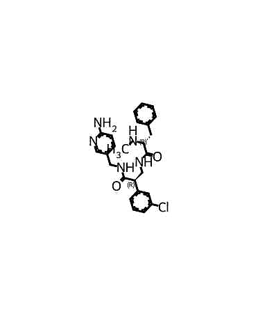 CN[C@H](Cc1ccccc1)C(=O)NC[C@H](C(=O)NCc1ccc(N)nc1)c1cccc(Cl)c1